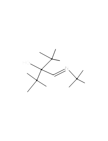 CC(C)(C)N=CC(O)(C(C)(C)C)C(C)(C)C